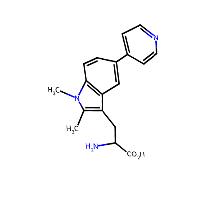 Cc1c(CC(N)C(=O)O)c2cc(-c3ccncc3)ccc2n1C